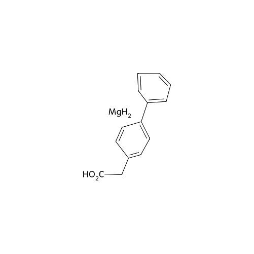 O=C(O)Cc1ccc(-c2ccccc2)cc1.[MgH2]